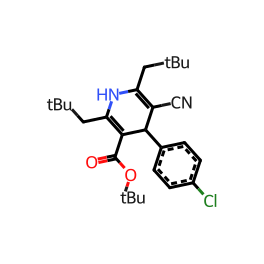 CC(C)(C)CC1=C(C#N)C(c2ccc(Cl)cc2)C(C(=O)OC(C)(C)C)=C(CC(C)(C)C)N1